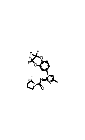 Cc1cn(-c2ccc3c(c2)OC(F)(F)C(F)(F)O3)c(=NC(=O)N2CCC[C@@H]2C)s1